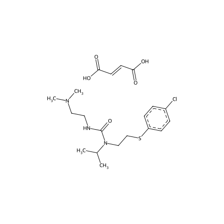 CC(C)N(CCSc1ccc(Cl)cc1)C(=O)NCCN(C)C.O=C(O)C=CC(=O)O